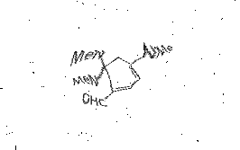 CNC1=CC=C(C=O)C(NC)(NC)C1